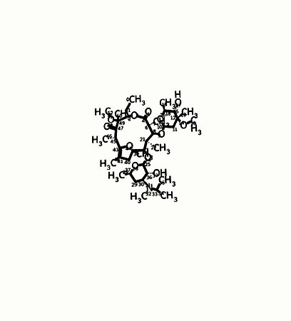 CC[C@H]1OC(=O)[C@H](C)[C@@H](OC2C[C@@](C)(OC)[C@@H](O)[C@H](C)O2)[C@H](C)[C@@H](OC2O[C@H](C)C[C@H](N(C)C(C)C)[C@H]2O)[C@@]2(C)CC(C)=C(O2)[C@H](C)C(=O)[C@]1(C)OC